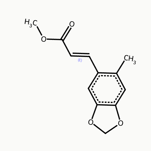 COC(=O)/C=C/c1cc2c(cc1C)OCO2